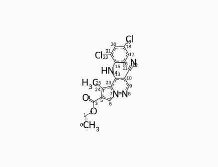 CCOC(=O)c1cn2ncc(C#N)c(Nc3ccc(Cl)cc3Cl)c2c1C